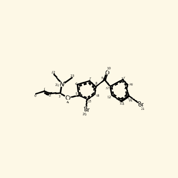 CC=CC(Oc1ccc(C(=O)c2ccc(Br)cc2)cc1Br)N(C)C